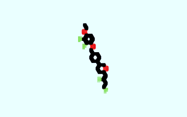 CCOc1ccc(OCC2CCC(C3CCC(/C=C(\F)CCF)OC3)CC2)c(F)c1F